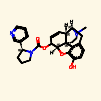 CN1CC[C@]23c4c5ccc(O)c4O[C@H]2C(OC(=O)N2CCC[C@@H]2c2cccnc2)C=C[C@H]3[C@H]1C5